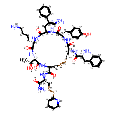 C[C@@H](O)[C@@H]1NC(=O)[C@H](CCCCN)NC(=O)C(C/C(=C/N)c2ccccc2)NC(=O)[C@H](Cc2ccc(O)cc2)NC(=O)[C@@H](NC(=O)[C@H](N)Cc2ccccc2)CSSCC(C(=O)N[C@@H](CSSc2ccccn2)C(N)=O)NC1=O